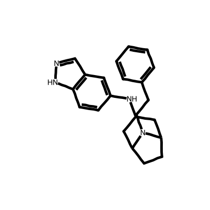 c1ccc(CCN2C3CCC2CC(Nc2ccc4[nH]ncc4c2)C3)cc1